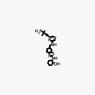 CC(C)(N)C#Cc1cncc(NCc2ccc3nc(NC4CCCC[C@H]4O)sc3c2)n1